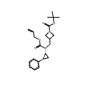 C=CCOC(=O)N(CC1CN(C(=O)OC(C)(C)C)C1)[C@@H]1C[C@H]1c1ccccc1